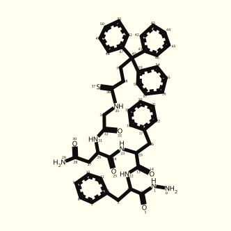 NNC(=O)C(Cc1ccccc1)NC(=O)C(Cc1ccccc1)NC(=O)C(CC(N)=O)NC(=O)CNC(=S)CCC(c1ccccc1)(c1ccccc1)c1ccccc1